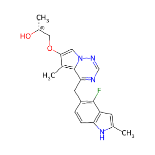 Cc1cc2c(F)c(Cc3ncnn4cc(OC[C@@H](C)O)c(C)c34)ccc2[nH]1